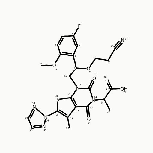 COc1ccc(F)cc1[C@H](Cn1c(=O)n(C(C)C(=O)O)c(=O)c2c(C)c(-n3nccn3)sc21)OCCC#N